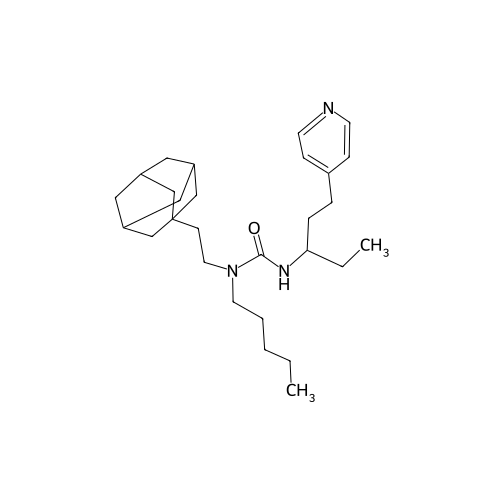 CCCCCN(CCC12CC3CC(CC(C3)C1)C2)C(=O)NC(CC)CCc1ccncc1